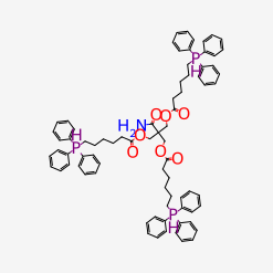 NC(=O)C(COC(=O)CCCCC[PH](c1ccccc1)(c1ccccc1)c1ccccc1)(COC(=O)CCCCC[PH](c1ccccc1)(c1ccccc1)c1ccccc1)COC(=O)CCCCC[PH](c1ccccc1)(c1ccccc1)c1ccccc1